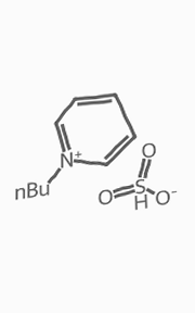 CCCC[n+]1ccccc1.O=[SH](=O)[O-]